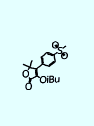 CC(C)COC1=C(c2ccc(S(C)(=O)=O)cc2)C(C)(C)OC1=O